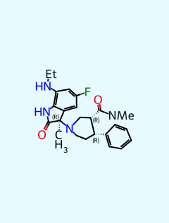 CCNc1cc(F)cc2c1NC(=O)[C@]2(C)N1CC[C@@H](c2ccccc2)[C@@H](C(=O)NC)C1